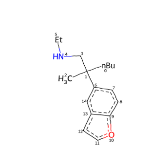 CCCCC(C)(CNCC)c1ccc2occc2c1